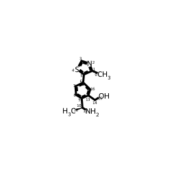 Cc1ncsc1-c1ccc([C@H](C)N)c(CO)c1